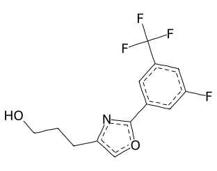 OCCCc1coc(-c2cc(F)cc(C(F)(F)F)c2)n1